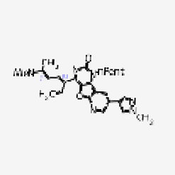 C=C/C(=C\C=C(/C)NC)c1nc(=O)n(CCCCC)c2c1oc1ncc(-c3cnn(C)c3)cc12